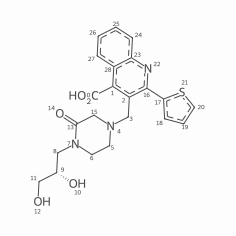 O=C(O)c1c(CN2CCN(C[C@H](O)CO)C(=O)C2)c(-c2cccs2)nc2ccccc12